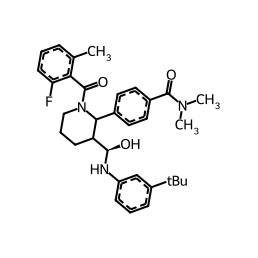 Cc1cccc(F)c1C(=O)N1CCCC([C@@H](O)Nc2cccc(C(C)(C)C)c2)C1c1ccc(C(=O)N(C)C)cc1